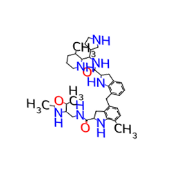 Cc1ccc(Cc2cccc3c2NC(C(=O)NC(C2CCNC2)C2NCCCC2C)C3)c2c1NC(C(=O)NCC1NC(C)OC1C)C2